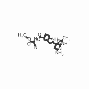 CCOC(=O)/C(C#N)=N/OC(=O)c1ccc2c(c1)CC(c1cc(N)nc3[nH]c(C)nc13)N2